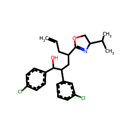 C=CCC(CC(c1cccc(Cl)c1)C(O)c1ccc(Cl)cc1)C1=NC(C(C)C)CO1